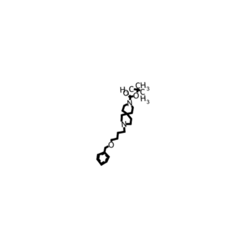 CC(C)(C)OC(=O)N1CCC2(CCN(CCCCOCc3ccccc3)CC2)CC1